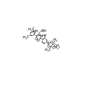 CCC[C@@H](N(NC(=O)c1ccc(B2OC(C)(C)C(C)(C)O2)cc1F)C(=O)c1cc(C)cc(C)c1)C(C)(C)C